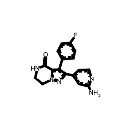 Nc1cc(-c2nn3c(c2-c2ccc(F)cc2)C(=O)NCC3)ccn1